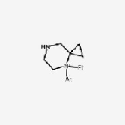 CC[N+]1(C(C)=O)CCNCC12CC2